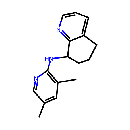 Cc1cnc(NC2CCCc3cccnc32)c(C)c1